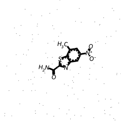 Cc1cc([N+](=O)[O-])cc2nc(C(N)=O)sc12